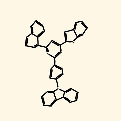 c1ccc2sc(-c3cc(-c4cccc5ccccc45)nc(-c4ccc(-n5c6ccccc6c6ccccc65)cc4)n3)cc2c1